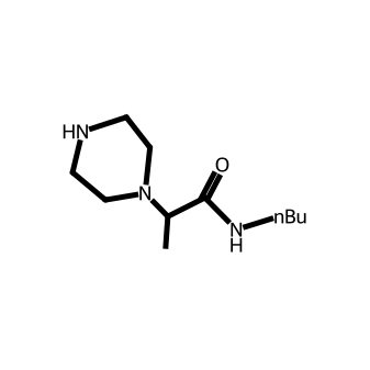 CCCCNC(=O)C(C)N1CCNCC1